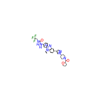 C=CN(c1cccc(NC(=O)NCC(F)(F)F)c1)c1ccc(-c2cnn(C3CCN(C(=O)C4CCCO4)CC3)c2)cc1N